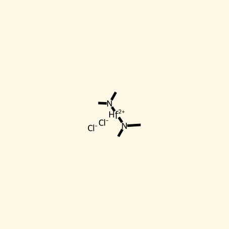 C[N](C)[Hf+2][N](C)C.[Cl-].[Cl-]